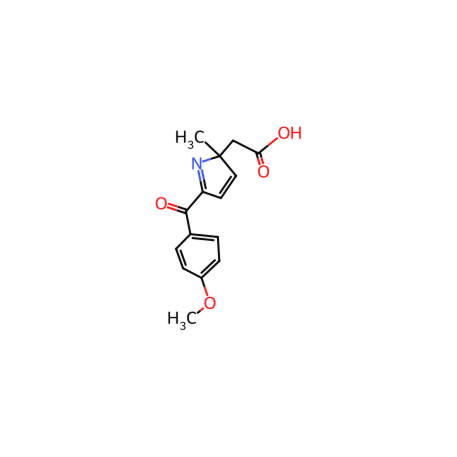 COc1ccc(C(=O)C2=NC(C)(CC(=O)O)C=C2)cc1